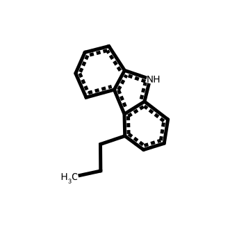 CCCc1cccc2[nH]c3ccccc3c12